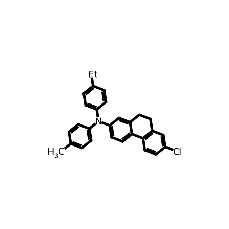 CCc1ccc(N(c2ccc(C)cc2)c2ccc3c(c2)CCc2cc(Cl)ccc2-3)cc1